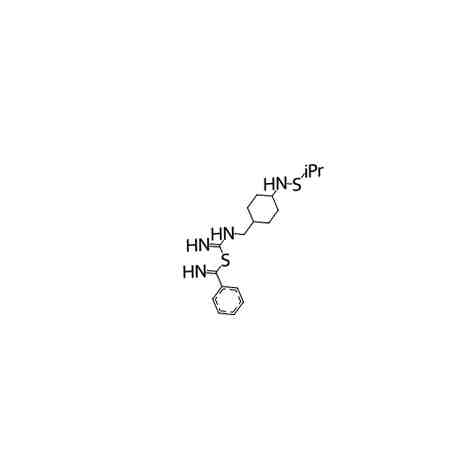 CC(C)SNC1CCC(CNC(=N)SC(=N)c2ccccc2)CC1